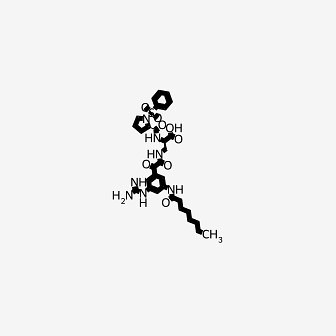 CCCCCCCC(=O)Nc1cc(NC(=N)N)cc(C(=O)C(=O)NC[C@@H](NC(=O)[C@@H]2CCCN2S(=O)(=O)c2ccccc2)C(=O)O)c1